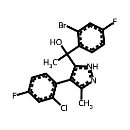 Cc1n[nH]c(C(C)(O)c2ccc(F)cc2Br)c1-c1ccc(F)cc1Cl